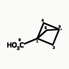 O=C(O)C12C[C](C1)C2